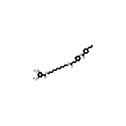 C=CCC1CCC(C(=O)Oc2ccc(C=CC(=O)OCCCCCCCCCCCOC(=O)c3cc(N)cc(N)c3)cc2)CC1